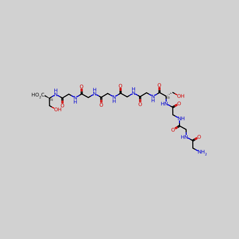 NCC(=O)NCC(=O)NCC(=O)N[C@@H](CO)C(=O)NCC(=O)NCC(=O)NCC(=O)NCC(=O)NCC(=O)N[C@@H](CO)C(=O)O